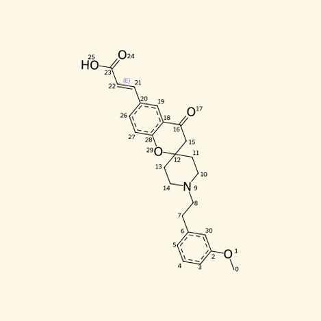 COc1cccc(CCN2CCC3(CC2)CC(=O)c2cc(/C=C/C(=O)O)ccc2O3)c1